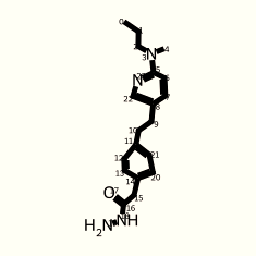 CCCN(C)c1ccc(CCc2ccc(CC(=O)NN)cc2)cn1